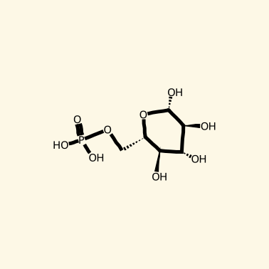 O=P(O)(O)OC[C@@H]1O[C@H](O)[C@@H](O)[C@H](O)[C@H]1O